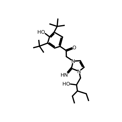 CCC(CC)C(O)Cn1ccn(CC(=O)c2cc(C(C)(C)C)c(O)c(C(C)(C)C)c2)c1=N